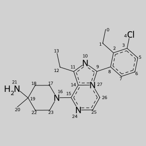 CCc1c(Cl)cccc1-c1nc(CC)c2c(N3CCC(C)(N)CC3)nccn12